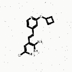 NC(N)=C(/C=C/c1ccnc(OC2CCC2)c1)/C=C(\N)Cl